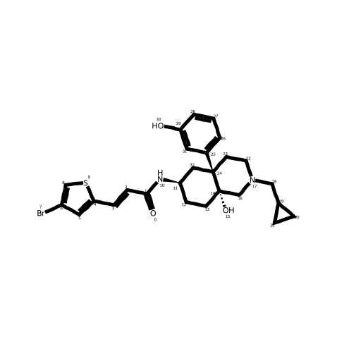 O=C(C=Cc1cc(Br)cs1)N[C@@H]1CC[C@]2(O)CN(CC3CC3)CC[C@@]2(c2cccc(O)c2)C1